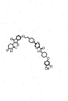 N#Cc1ccc(O[C@H]2CC[C@H](NC(=O)c3cnc(N4CCN(CCOc5ccc6c(c5)C(=O)N(C5CCC(=O)NC5=O)C6=O)CC4)cn3)CC2)cc1Cl